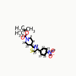 CC(C)(C)OC(=O)N1CCC(C2=NC(c3ccc([N+](=O)[O-])cc3)CS2)CC1